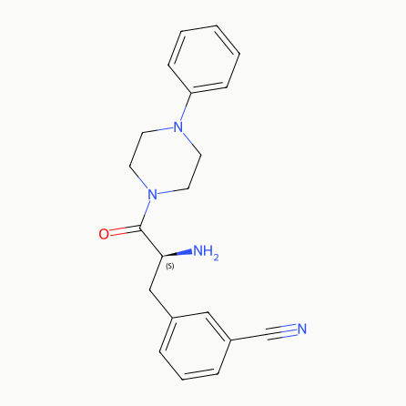 N#Cc1cccc(C[C@H](N)C(=O)N2CCN(c3ccccc3)CC2)c1